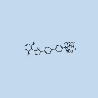 CCCC[N+](C)(C(=O)[O-])c1ccc(-c2ccc(C3CCC(c4c(F)cccc4F)=N3)cc2)cc1